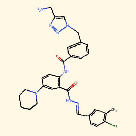 NCc1cn(Cc2cccc(C(=O)Nc3ccc(N4CCCCC4)cc3C(=O)NN=Cc3ccc(Cl)c(C(F)(F)F)c3)c2)nn1